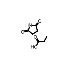 CCC(=O)O.O=C1CCC(=O)N1